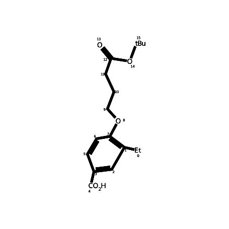 CCc1cc(C(=O)O)ccc1OCCCC(=O)OC(C)(C)C